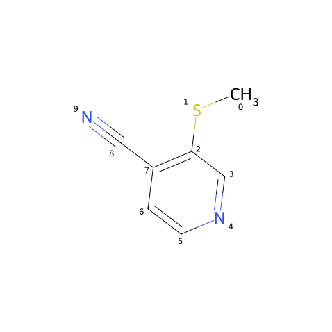 CSc1cnccc1C#N